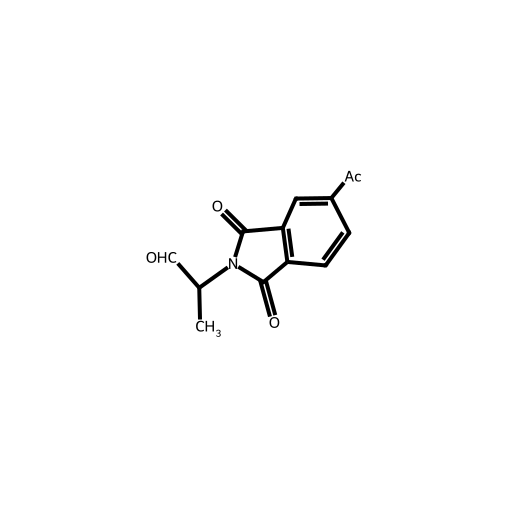 CC(=O)c1ccc2c(c1)C(=O)N(C(C)C=O)C2=O